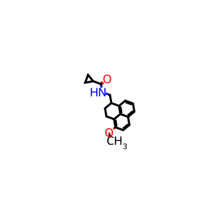 COc1ccc2cccc3c2c1CCC3CNC(=O)C1CC1